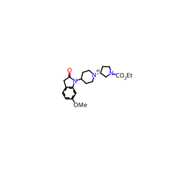 CCOC(=O)N1CC[C@@H](N2CCC(N3C(=O)Cc4ccc(OC)cc43)CC2)C1